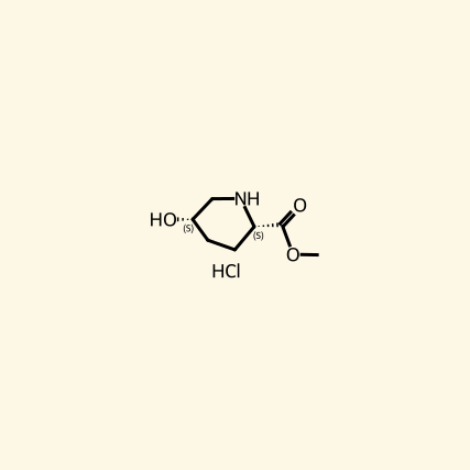 COC(=O)[C@@H]1CC[C@H](O)CN1.Cl